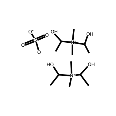 CC(O)[N+](C)(C)C(C)O.CC(O)[N+](C)(C)C(C)O.O=S(=O)([O-])[O-]